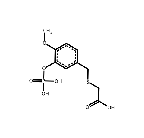 COc1ccc(CSCC(=O)O)cc1OP(=O)(O)O